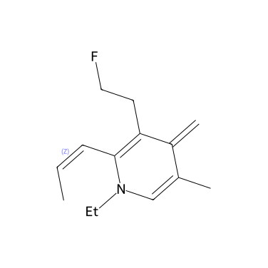 C=C1C(C)=CN(CC)C(/C=C\C)=C1CCF